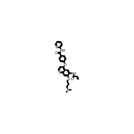 C=CC(=O)Nc1cc2c(Oc3ccc(C(=O)Nc4ccccn4)cc3)ccnc2cc1OCCCN(C)C